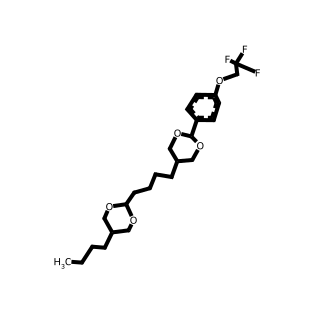 CCCCC1COC(CCCCC2COC(c3ccc(OCC(F)(F)F)cc3)OC2)OC1